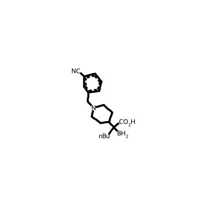 BC(CCCC)(C(=O)O)C1CCN(Cc2cccc(C#N)c2)CC1